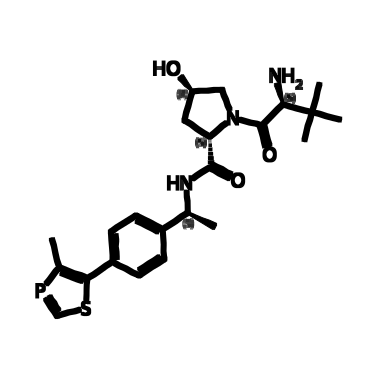 Cc1pcsc1-c1ccc([C@H](C)NC(=O)[C@@H]2C[C@@H](O)CN2C(=O)[C@@H](N)C(C)(C)C)cc1